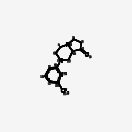 O=C1CCN2CCN(c3cccc(C(F)(F)F)n3)CC12